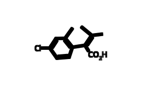 CC(C)=C(C(=O)O)c1ccc(Cl)cc1C